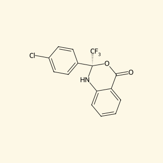 O=C1O[C@@](c2ccc(Cl)cc2)(C(F)(F)F)Nc2ccccc21